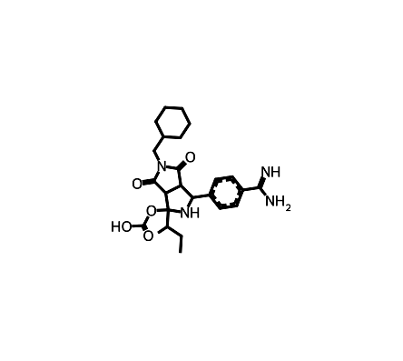 CCC(C)C1(OC(=O)O)NC(c2ccc(C(=N)N)cc2)C2C(=O)N(CC3CCCCC3)C(=O)C21